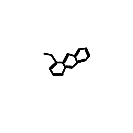 CCc1cc[c]c2cc3ccccc3cc12